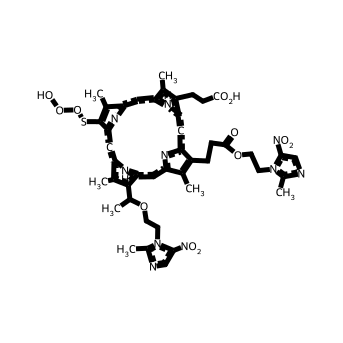 CC1=C(CCC(=O)OCCn2c([N+](=O)[O-])cnc2C)c2cc3[nH]c(cc4nc(cc5[nH]c(cc1n2)c(C(C)OCCn1c([N+](=O)[O-])cnc1C)c5C)C(SOOO)=C4C)c(C)c3CCC(=O)O